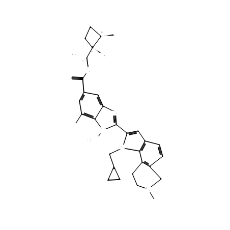 CC(C)N1CCc2c(ccc3cc(-c4nc5cc(C(=O)N[C@H](I)[C@]6(N)CC[C@H]6I)cc(F)c5n4C)n(CC4CC4)c23)C1